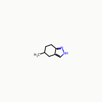 CC1CCc2n[nH]cc2C1